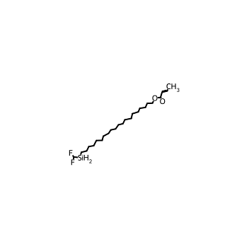 CC=CC(=O)OCCCCCCCCCCCCCCCCCCCC[SiH2]C(F)F